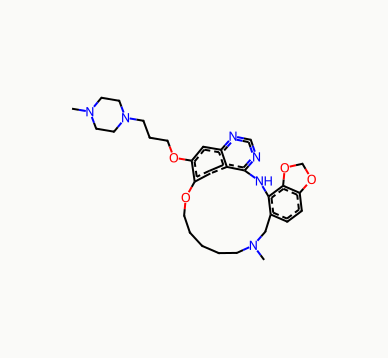 CN1CCN(CCCOc2cc3ncnc4c3cc2OCCCCCN(C)Cc2ccc3c(c2N4)OCO3)CC1